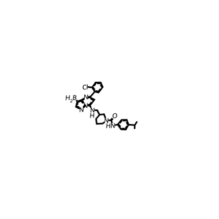 Bc1cnn2c(NCC3CCCN(C(=O)Nc4ccc(C(C)C)cc4)C3)cc(-c3ccccc3Cl)nc12